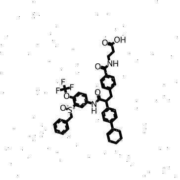 O=C(O)CCNC(=O)c1ccc(CC(C(=O)Nc2ccc(OC(F)(F)F)c([S+]([O-])Cc3ccccc3)c2)c2ccc(C3=CCCCC3)cc2)cc1